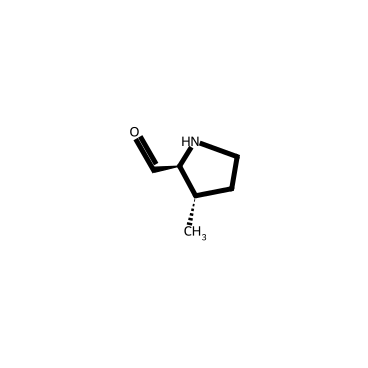 C[C@H]1CCN[C@@H]1C=O